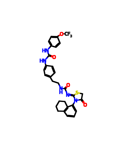 O=C(/N=C1\SCC(=O)N1c1cccc2c1CCCC2)NCCc1ccc(NC(=O)Nc2ccc(OC(F)(F)F)cc2)cc1